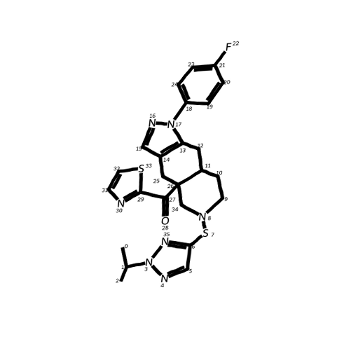 CC(C)n1ncc(SN2CCC3Cc4c(cnn4-c4ccc(F)cc4)CC3(C(=O)c3nccs3)C2)n1